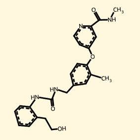 CNC(=O)c1cc(Oc2ccc(CNC(=O)Nc3ccccc3CCO)cc2C)ccn1